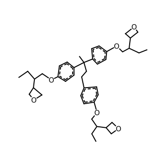 CCC(COc1ccc(CCC(C)(c2ccc(OCC(CC)C3COC3)cc2)c2ccc(OCC(CC)C3COC3)cc2)cc1)C1COC1